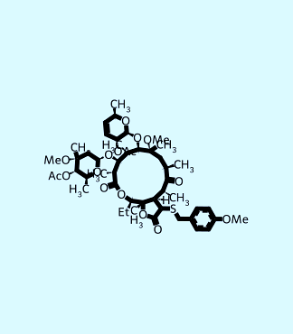 CC[C@H]1OC(=O)[C@H](C)[C@@H](O[C@H]2C[C@@](C)(OC)[C@@H](OC(C)=O)[C@H](C)O2)[C@H](C)[C@@H](O[C@@H]2O[C@H](C)C=C[C@H]2OC(C)=O)[C@](C)(OC)C[C@@H](C)C(=O)[C@H](C)[C@H]2C(SCc3ccc(OC)cc3)C(=O)O[C@@]21C